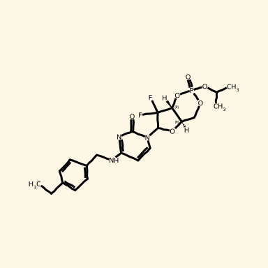 CCc1ccc(CNc2ccn(C3O[C@@H]4COP(=O)(OC(C)C)O[C@H]4C3(F)F)c(=O)n2)cc1